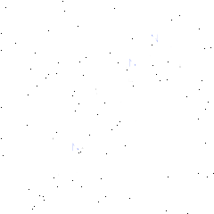 NC1=NC(c2ccc(N3CCCC3)cc2)CS1